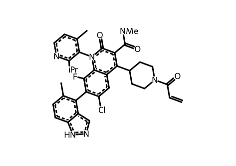 C=CC(=O)N1CCC(c2c(C(=O)NC)c(=O)n(-c3c(C)ccnc3C(C)C)c3c(F)c(-c4c(C)ccc5[nH]ncc45)c(Cl)cc23)CC1